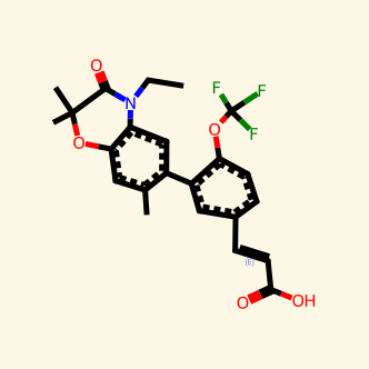 CCN1C(=O)C(C)(C)Oc2cc(C)c(-c3cc(/C=C/C(=O)O)ccc3OC(F)(F)F)cc21